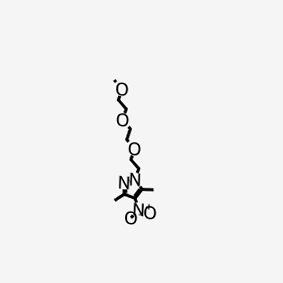 COCCOCCOCCn1nc(C)c([N+](=O)[O-])c1C